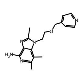 Cc1nc(N)c2nc(C)n(CCOCc3ccncc3)c2c1C